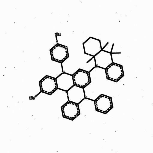 CC(C)(C)c1ccc(N2c3ccc(C(C)(C)C)cc3B3c4ccccc4N(c4ccccc4)c4cc(N5c6ccccc6C(C)(C)C6(C)CCCCC56C)cc2c43)cc1